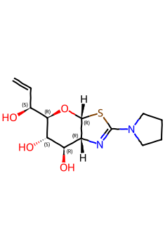 C=C[C@H](O)[C@H]1O[C@@H]2SC(N3CCCC3)=N[C@@H]2[C@@H](O)[C@@H]1O